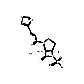 O=C(/C=C/c1c[nH]cn1)N1CC[C@@H]2[C@H]1C(=O)N2S(=O)(=O)[O-].[Na+]